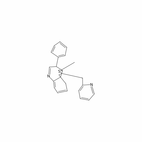 CS1=C2C(c3ccccc3)C=NC3=CC=CCC32CC1Cc1ccccn1